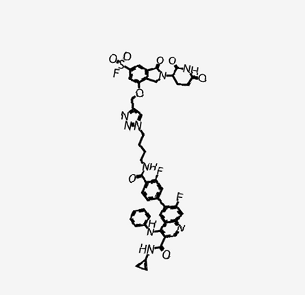 O=C1CCC(N2Cc3c(OCc4cn(CCCCNC(=O)c5ccc(-c6cc7c(Nc8ccccc8)c(C(=O)NC8CC8)cnc7cc6F)cc5F)nn4)cc(S(=O)(=O)F)cc3C2=O)C(=O)N1